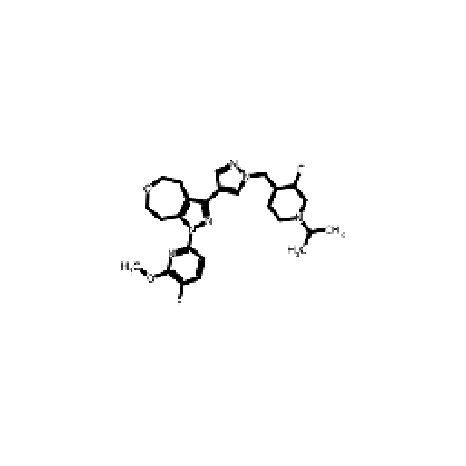 COc1nc(-n2nc(-c3cnn(CC4CCN(C(C)C)CC4F)c3)c3c2CCOCC3)ccc1F